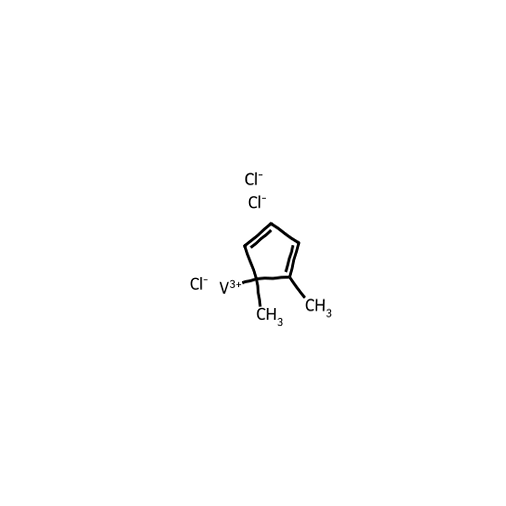 CC1=CC=C[C]1(C)[V+3].[Cl-].[Cl-].[Cl-]